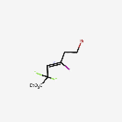 CCOC(=O)C(F)(F)/C=C(\I)CCBr